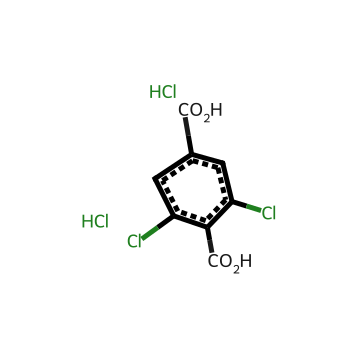 Cl.Cl.O=C(O)c1cc(Cl)c(C(=O)O)c(Cl)c1